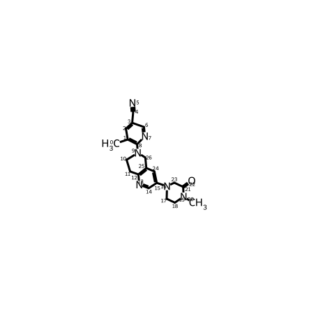 Cc1cc(C#N)cnc1N1CCc2ncc(N3CCN(C)C(=O)C3)cc2C1